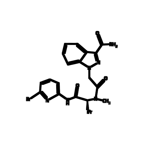 CC(C)[C@@H](C(=O)Nc1cccc(Br)n1)N(C)C(=O)Cn1nc(C(N)=O)c2ccccc21